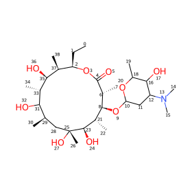 CC[C@H]1OC(=O)[C@H](C)[C@@H](OC2CC(N(C)C)C(O)C(C)O2)[C@H](C)[C@@H](O)[C@](C)(O)C[C@@H](C)C(O)[C@H](C)[C@@H](O)[C@H]1C